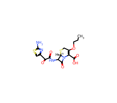 CCCOC1=C(C(=O)O)N2C(=O)C(NC(=O)C(=O)c3csc(N)n3)[C@@H]2SC1